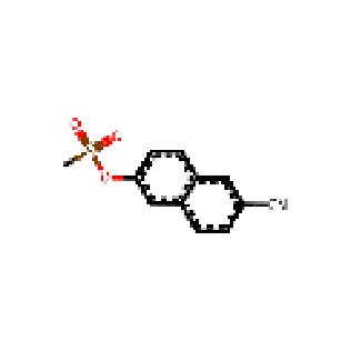 CS(=O)(=O)Oc1ccc2cc(C#N)ccc2c1